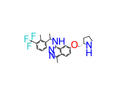 Cc1c(C(C)Nc2nnc(C)c3ccc(OC[C@@H]4CCCN4)cc23)cccc1C(F)(F)F